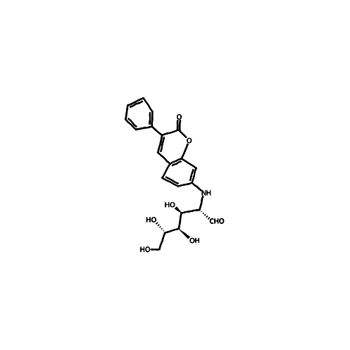 O=C[C@@H](Nc1ccc2cc(-c3ccccc3)c(=O)oc2c1)[C@H](O)[C@@H](O)[C@@H](O)CO